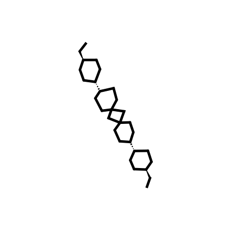 CC[C@H]1CC[C@H](C2CCC3(CC2)CC2(CCC([C@H]4CC[C@H](CC)CC4)CC2)C3)CC1